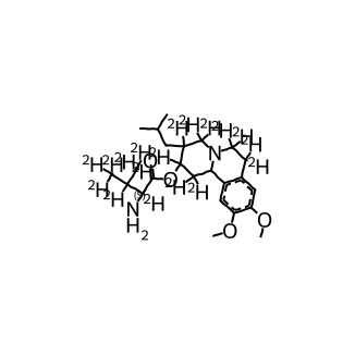 [2H]C([2H])([2H])C([2H])(C([2H])([2H])[2H])[C@]([2H])(N)C(=O)OC1([2H])C([2H])([2H])C2c3cc(OC)c(OC)cc3C([2H])([2H])C([2H])([2H])N2C([2H])([2H])C1([2H])CC(C)C